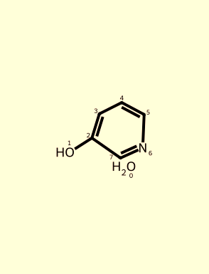 O.Oc1cccnc1